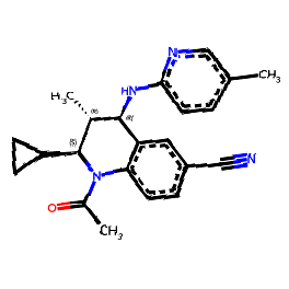 CC(=O)N1c2ccc(C#N)cc2[C@H](Nc2ccc(C)cn2)[C@@H](C)[C@@H]1C1CC1